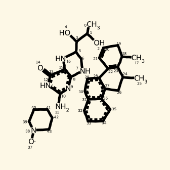 CC(O)C(O)C1CNc2nc(N)[nH]c(=O)c2N1.CC1CC=CC2=C1C(C)Cc1c2ccc2ccccc12.[O]N1CCCCC1